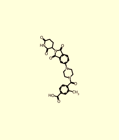 Cc1cc(C(=O)O)ccc1C(=O)N1CCN(c2ccc3c(c2)C(=O)N(C2CCC(=O)NC2=O)C3=O)CC1